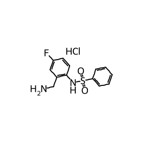 Cl.NCc1cc(F)ccc1NS(=O)(=O)c1ccccc1